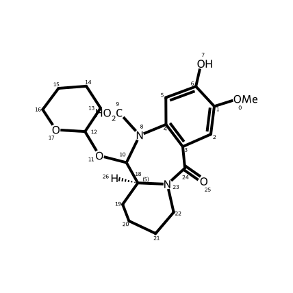 COc1cc2c(cc1O)N(C(=O)O)C(OC1CCCCO1)[C@@H]1CCCCN1C2=O